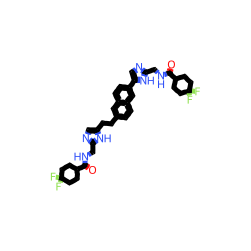 O=C(NCc1ncc(CCc2ccc3cc(-c4cnc(CNC(=O)C5CCC(F)(F)CC5)[nH]4)ccc3c2)[nH]1)C1CCC(F)(F)CC1